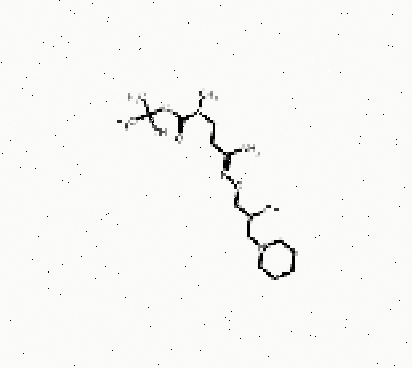 CN(CCC(N)=NOCC(O)CN1CCCCC1)C(=O)OC(C)(C)C